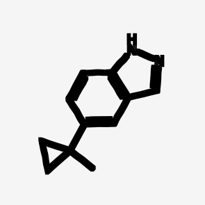 CC1(c2ccc3[nH]ncc3c2)CC1